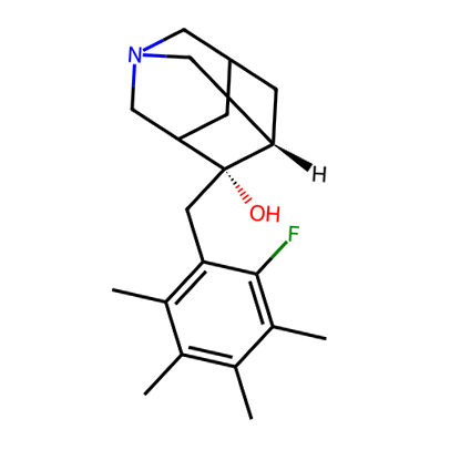 Cc1c(C)c(C)c(C[C@@]2(O)C3CC4C[C@H]2CN(C4)C3)c(F)c1C